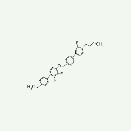 CCCCc1ccc(-c2ccc(COc3ccc(-c4ccc(CC)cc4)c(F)c3F)cc2)cc1F